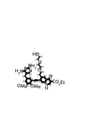 CCOC(=O)c1c[nH]c2cc(C#Cc3cc(Cc4cnc(N)nc4N)cc(OC)c3OC)c(CCOCCOCCO)cc2c1=O